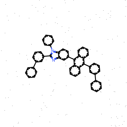 c1ccc(-c2cccc(-c3c4ccccc4c(-c4ccc5c(c4)nc(-c4cccc(-c6ccccc6)c4)n5-c4ccccc4)c4ccccc34)c2)cc1